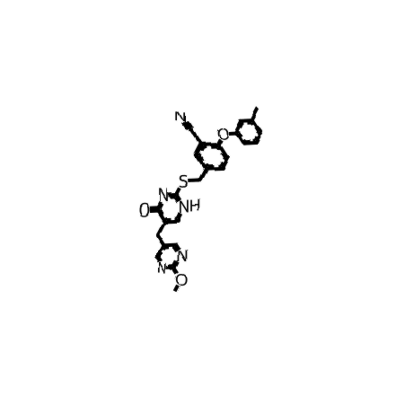 COc1ncc(Cc2c[nH]c(SCc3ccc(Oc4cccc(C)c4)c(C#N)c3)nc2=O)cn1